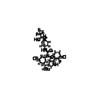 CC(C)(C)C[C@@H]1CN[C@H](c2cccc(Cl)c2F)[C@]12C(=O)N(C(=O)NC1CCNCC1)c1cc(Cl)ccc12.O=C(O)C(F)(F)F